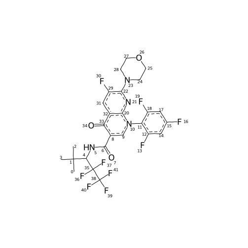 CC(C)(C)C(NC(=O)c1cn(-c2c(F)cc(F)cc2F)c2nc(N3CCOCC3)c(F)cc2c1=O)C(F)(F)C(F)(F)F